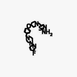 Nc1ncc(CN2CCC(Oc3ccc(CN4CCCN(c5ccc(F)cn5)CC4)cc3)CC2)s1